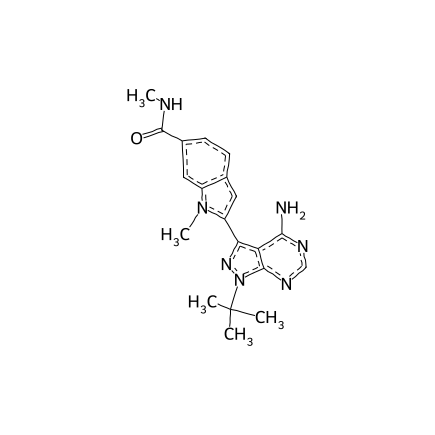 CNC(=O)c1ccc2cc(-c3nn(C(C)(C)C)c4ncnc(N)c34)n(C)c2c1